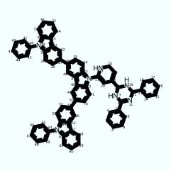 C1=C(C2NC(c3ccccc3)=NC(c3ccccc3)N2)C=C(n2c3ccc(-c4ccc5c(c4)c4ccccc4n5-c4ccccc4)cc3c3cc(-c4ccc5c(c4)c4ccccc4n5-c4ccccc4)ccc32)NC1